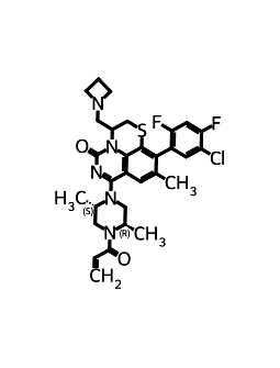 C=CC(=O)N1C[C@H](C)N(c2nc(=O)n3c4c(c(-c5cc(Cl)c(F)cc5F)c(C)cc24)SCC3CN2CCC2)C[C@H]1C